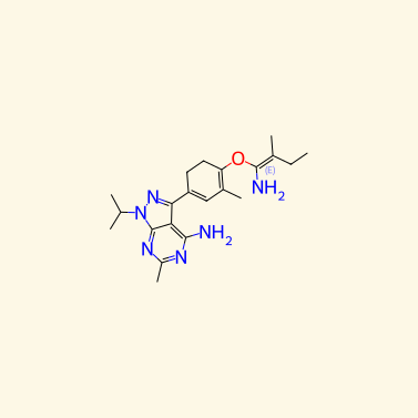 CC/C(C)=C(\N)OC1=C(C)C=C(c2nn(C(C)C)c3nc(C)nc(N)c23)CC1